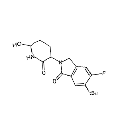 CC(C)(C)c1cc2c(cc1F)CN(C1CCC(O)NC1=O)C2=O